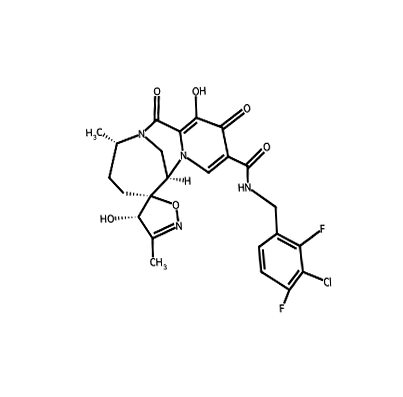 CC1=NO[C@@]2(CC[C@H](C)N3C[C@H]2n2cc(C(=O)NCc4ccc(F)c(Cl)c4F)c(=O)c(O)c2C3=O)[C@H]1O